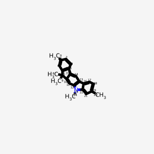 Cc1ccc2c(c1)C(C)(C)c1cc3c(cc1-2)c1ccc(C)cc1n3C